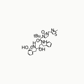 Cc1nc(CN2CCN([C@H](C(=O)NC(Cc3ccccc3)CC(O)C(Cc3ccccc3)NC(=O)O)C(C)(C)C)C2=O)cs1